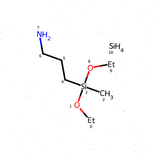 CCO[Si](C)(CCCN)OCC.[SiH4]